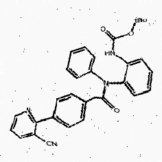 CC(C)(C)OC(=O)Nc1ccccc1N(C(=O)c1ccc(-c2ncccc2C#N)cc1)c1ccccc1